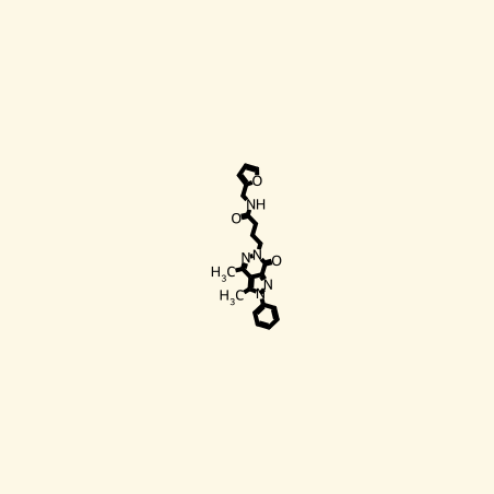 Cc1nn(CCCC(=O)NCc2ccco2)c(=O)c2nn(-c3ccccc3)c(C)c12